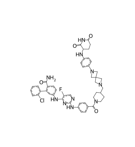 NC(=O)c1ccc(Nc2nc(Nc3ccc(C(=O)N4CCC(CN5CC6(C5)CN(c5ccc(NC7CCC(=O)NC7=O)cc5)C6)CC4)cc3)ncc2F)cc1-c1ccccc1Cl